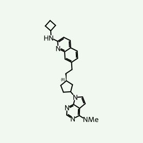 CNc1ncnc2c1ccn2C1CC[C@@H](CCc2ccc3ccc(NC4CCC4)nc3c2)C1